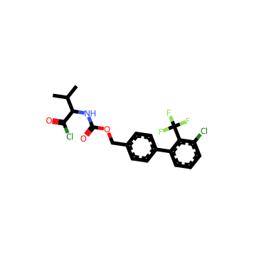 CC(C)C(NC(=O)OCc1ccc(-c2cccc(Cl)c2C(F)(F)F)cc1)C(=O)Cl